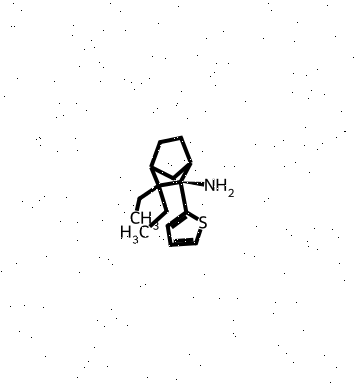 CCC1(CC)C2CCC(C2)[C@]1(N)c1cccs1